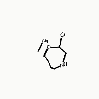 CC#N.ClC1CNCCO1